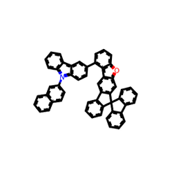 c1ccc2c(c1)-c1ccccc1C21c2ccccc2-c2cc3c(cc21)oc1cccc(-c2ccc4c(c2)c2ccccc2n4-c2ccc4ccccc4c2)c13